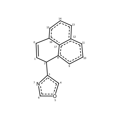 C1=CC(c2cocn2)c2cccc3cccc1c23